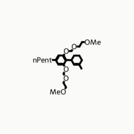 CCCCCc1cc(OCOCCOC)c(C2C=C(C)CCC2)c(OCOCCOC)c1